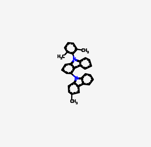 Cc1ccc2c(c1)c1ccccc1n2-c1cccc2c1c1ccccc1n2-c1c(C)cccc1C